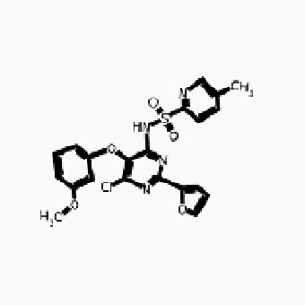 COc1cccc(Oc2c(Cl)nc(-c3ccco3)nc2NS(=O)(=O)c2ccc(C)cn2)c1